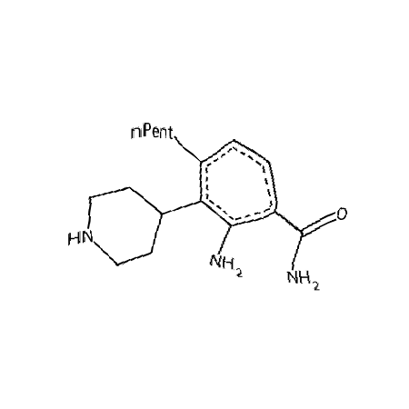 CCCCCc1ccc(C(N)=O)c(N)c1C1CCNCC1